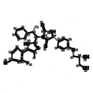 Cc1nc(C([C@@H](C)c2ccccc2)N2C(=O)N[C@H](c3ccc(OC[C@H](O)CO)cc3)C2=O)[nH]c1-c1ccc(Br)cc1F